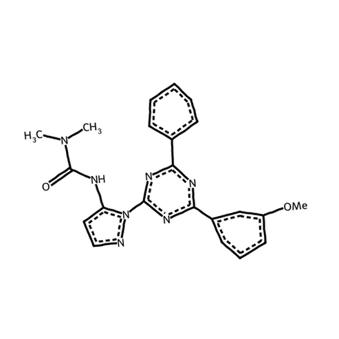 COc1cccc(-c2nc(-c3ccccc3)nc(-n3nccc3NC(=O)N(C)C)n2)c1